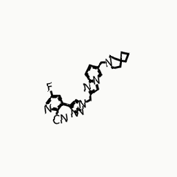 N#Cc1ncc(F)cc1-c1cn(Cc2cn3cc(CN4CCC5(CCC5)C4)ccc3n2)nn1